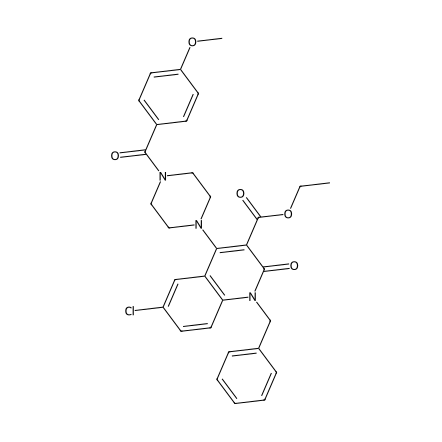 CCOC(=O)c1c(N2CCN(C(=O)c3ccc(OC)cc3)CC2)c2cc(Cl)ccc2n(Cc2ccccc2)c1=O